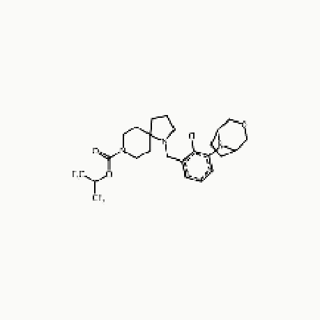 O=C(OC(C(F)(F)F)C(F)(F)F)N1CCC2(CCCN2Cc2cccc(N3C4CCC3COC4)c2Cl)CC1